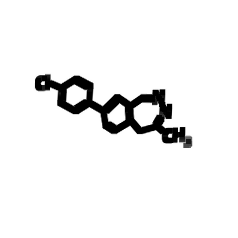 CC1=NN=Cc2cc(-c3ccc(Cl)cc3)ccc2C1